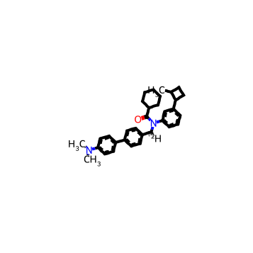 [2H][C@H](c1ccc(-c2ccc(N(C)C)cc2)cc1)N(C(=O)C1CCCCC1)c1cccc(C2CCC2C)c1